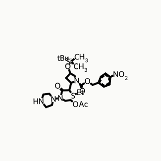 CCSC(C(=O)N(CCOC(C)=O)N1CCNCC1)C1CC(O[Si](C)(C)C(C)(C)C)CN1C(=O)OCc1ccc([N+](=O)[O-])cc1